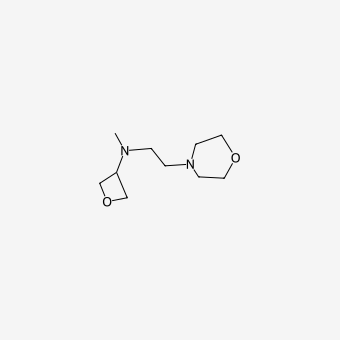 CN(CCN1CCOCC1)C1COC1